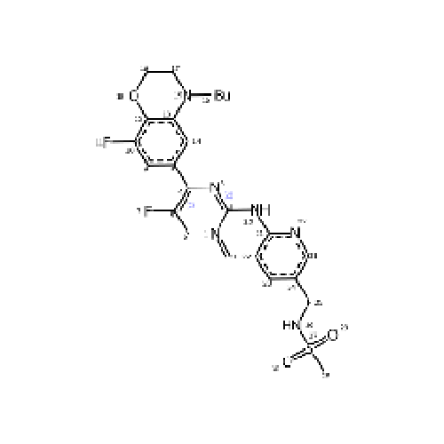 C=N/C(=N\C(=C(/C)F)c1cc(F)c2c(c1)N(C(C)CC)CCO2)Nc1ccc(CNS(C)(=O)=O)cn1